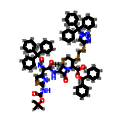 CC(C)(C)OC(=O)Nc1nc(/C(=N/OC(c2ccccc2)(c2ccccc2)c2ccccc2)C(=O)N[C@@H]2C(=O)N3C(C(=O)OC(c4ccccc4)c4ccccc4)=C(SCSc4cn(C(c5ccccc5)(c5ccccc5)c5ccccc5)nn4)CS[C@H]23)cs1